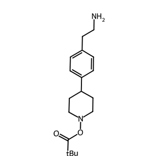 CC(C)(C)C(=O)ON1CCC(c2ccc(CCN)cc2)CC1